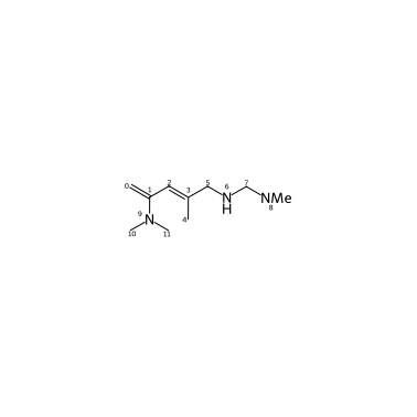 C=C(/C=C(\C)CNCNC)N(C)C